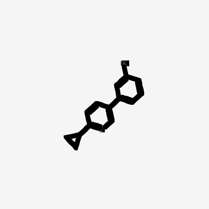 N#Cc1cccc(-c2ccc(C3CC3)nc2)c1